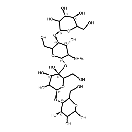 CC(=O)NC1[C@H](O[C@]2(O)C(CO)O[C@@H](O[C@@H]3C(CO)OC(O)C(O)[C@H]3O)C(O)[C@H]2O)OC(CO)[C@@H](O[C@@H]2OC(CO)[C@H](O)[C@H](O)C2O)[C@@H]1O